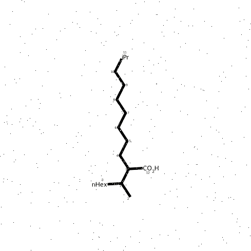 CCCCCCC(C)C(CCCCCCCC(C)C)C(=O)O